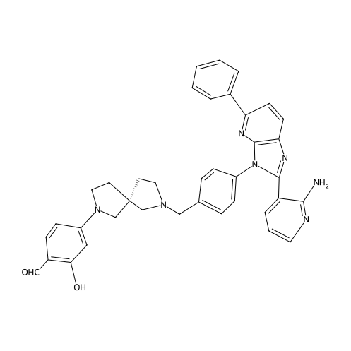 Nc1ncccc1-c1nc2ccc(-c3ccccc3)nc2n1-c1ccc(CN2CC[C@]3(CCN(c4ccc(C=O)c(O)c4)C3)C2)cc1